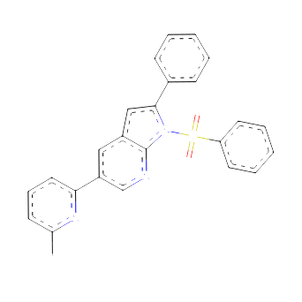 O=C(O)c1cccc(-c2cnc3c(c2)cc(-c2ccccc2)n3S(=O)(=O)c2ccccc2)n1